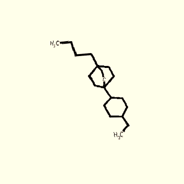 CCCCC12CCC(C3CCC(CC)CC3)(CC1)CC2